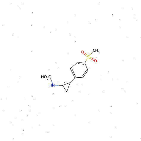 CS(=O)(=O)c1ccc(C2CC2NC(=O)O)cc1